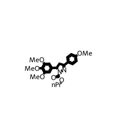 CCCOC(=O)N1N=C(c2ccc(OC)cc2)CC1c1cc(OC)c(OC)c(OC)c1